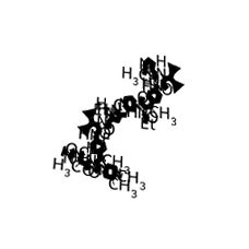 CCC(=O)N[C@@H](C(=O)N1CCN(C)[C@H](Cc2cc(C(=O)N[C@H](C(=O)Nc3ccc([C@H](C)[C@@H](NC(=O)[C@H](C)N(C)C4=NCCO4)C(=O)N4CCN(C)[C@H](C)C4)cc3F)C(C3CC3)C3CC3)n(CC)n2)C1)[C@@H](C)c1ccc(NC(=O)[C@@H](NC(=O)c2ccnn2C)C(C2CC2)C2CC2)c(F)c1